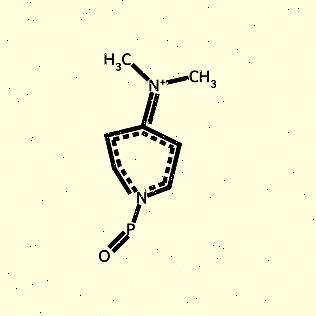 C[N+](C)=c1ccn(P=O)cc1